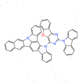 c1ccc2cc3c(cc2c1)c1cc2c4ccccc4n(-c4nc(-n5c6ccccc6c6ccccc65)nc5c4oc4ccccc45)c2c2c4ccccc4n3c12